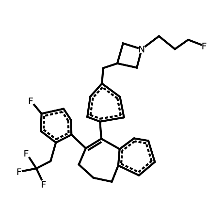 FCCCN1CC(Cc2ccc(C3=C(c4ccc(F)cc4CC(F)(F)F)CCCc4ccccc43)cc2)C1